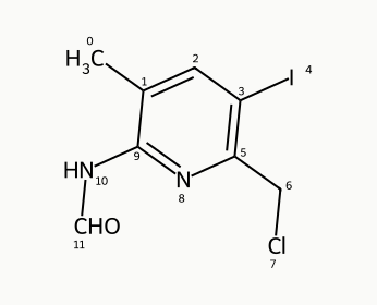 Cc1cc(I)c(CCl)nc1NC=O